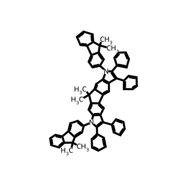 CC1(C)c2ccccc2-c2ccc(-n3c(-c4ccccc4)c(-c4ccccc4)c4cc5c(cc43)C(C)(C)c3cc4c(cc3-5)c(-c3ccccc3)c(-c3ccccc3)n4-c3ccc4c(c3)C(C)(C)c3ccccc3-4)cc21